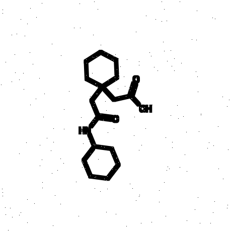 O=C(O)CC1(CC(=O)NC2CCCCC2)CCCCC1